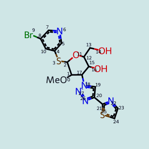 COC1C(Sc2cncc(Br)c2)OC(CO)C(O)C1n1cc(-c2nccs2)nn1